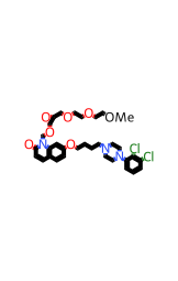 COCCOCCOCC1OC1OCn1c(=O)ccc2ccc(OCCCCN3CCN(c4cccc(Cl)c4Cl)CC3)cc21